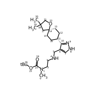 CN(CCNCc1c[nH]nc1[C@H]1CC[C@]2(CC1)CC(C)(C)CO2)C(=O)OC(C)(C)C